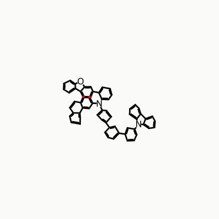 c1cc(-c2ccc(N(c3ccc4ccc5ccccc5c4c3)c3ccccc3-c3ccc4c(c3)oc3ccccc34)cc2)cc(-c2cccc(-n3c4ccccc4c4ccccc43)c2)c1